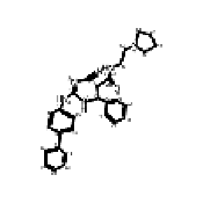 N#C/N=C(/Nc1ccc(-c2ccccc2)cc1)NC(CC(=O)NCCN1CCCC1)c1ccccc1